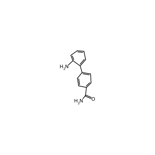 NC(=O)c1ccc(-c2ccccc2N)cc1